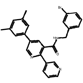 Cc1cc(C)cc(-c2cnc(-c3cccnc3)c(C(=O)NCc3cccc(Br)c3)c2)c1